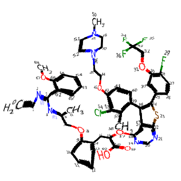 C=C/N=C(\N=C(/C)COc1ccccc1CC(Oc1ncnc2sc(-c3ccc(F)c(OCC(F)(F)F)c3)c(-c3ccc(OCCN4CCN(C)CC4)c(Cl)c3C)c12)C(=O)O)c1ccccc1OC